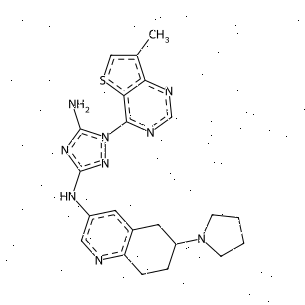 Cc1csc2c(-n3nc(Nc4cnc5c(c4)CC(N4CCCC4)CC5)nc3N)ncnc12